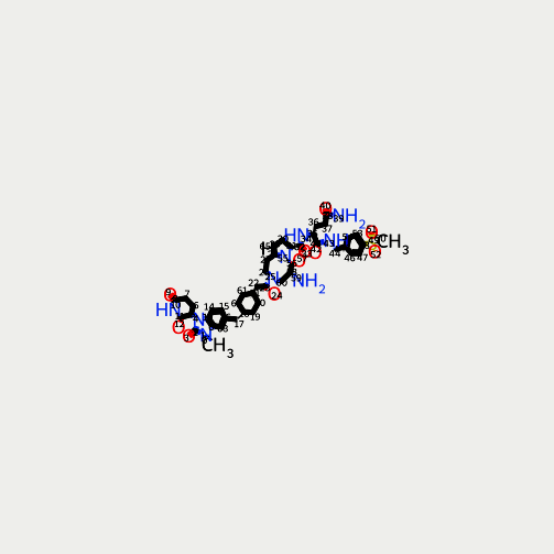 Cn1c(=O)n(C2CCC(=O)NC2=O)c2ccc(C[C@H]3CC[C@H](CC(=O)N4CC[C@H]5CC[C@@H](C(=O)N[C@@H](CCC(N)=O)C(=O)NCc6ccc(S(C)(=O)=O)cc6)N5C(=O)[C@@H](N)C4)CC3)cc21